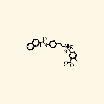 COC(=O)c1cc(S(=O)(=O)NCCc2ccc(NC(=O)c3ccc4ccccc4c3)cc2)ccc1C